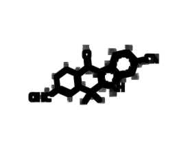 CC1(C)C2=C(CCC(C=O)=C2)C(=O)c2c1[nH]c1cc(C#N)ccc21